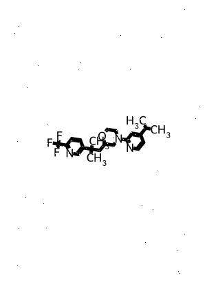 CC(C)c1ccnc(N2CCOC(CC(C)(C)c3ccc(C(F)(F)F)nc3)C2)c1